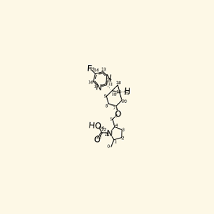 CC1CCC(CO[C@H]2CC[C@@]3(c4ncc(F)cn4)C[C@H]3C2)N1C(=O)O